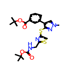 Cn1cc(-c2cccc(C(=O)OC(C)(C)C)c2)c(Sc2csc(CNC(=O)OC(C)(C)C)n2)n1